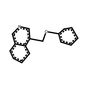 c1ccc(OCc2cncc3ccccc23)cc1